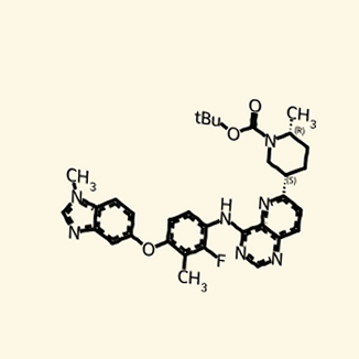 Cc1c(Oc2ccc3c(c2)ncn3C)ccc(Nc2ncnc3ccc([C@H]4CC[C@@H](C)N(C(=O)OC(C)(C)C)C4)nc23)c1F